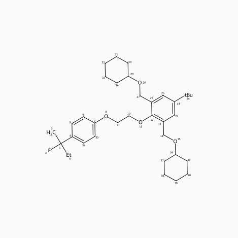 CCC(C)(F)c1ccc(OCCOc2c(COC3CCCCC3)cc(C(C)(C)C)cc2COC2CCCCC2)cc1